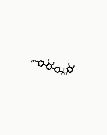 CCCc1ccc(-c2ccc(C3CCC(C(F)(F)Oc4ccc(F)c(F)c4)CC3)c(F)c2F)cc1